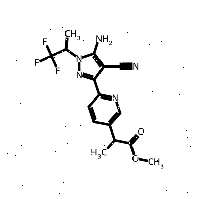 COC(=O)C(C)c1ccc(-c2nn(C(C)C(F)(F)F)c(N)c2C#N)nc1